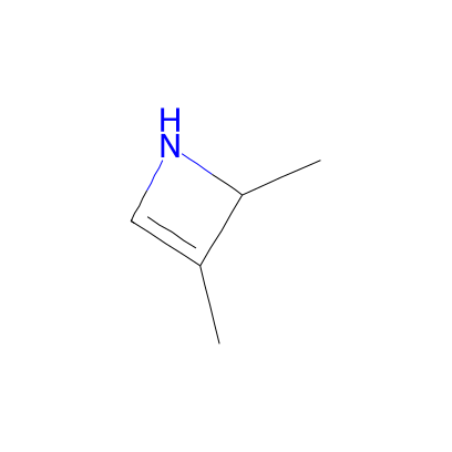 CC1=CNC1C